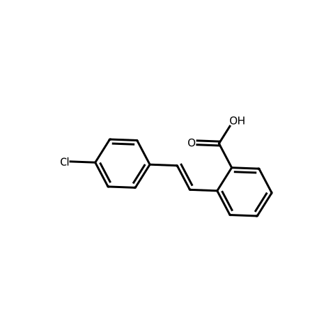 O=C(O)c1ccccc1/C=C/c1ccc(Cl)cc1